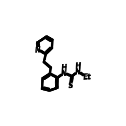 CCNC(=S)Nc1ccccc1CCc1ccccn1